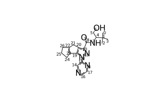 CC(C)(C)C(CO)NC(=O)c1nn(-c2cnccn2)c2c1CC1=C2CCC1